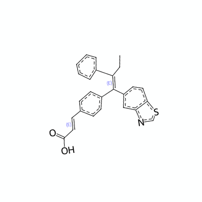 CC/C(=C(/c1ccc(/C=C/C(=O)O)cc1)c1ccc2scnc2c1)c1ccccc1